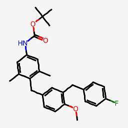 COc1ccc(Cc2c(C)cc(NC(=O)OC(C)(C)C)cc2C)cc1Cc1ccc(F)cc1